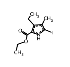 CCOC(=O)c1[nH]c(I)c(C)c1CC